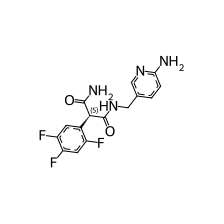 NC(=O)[C@@H](C(=O)NCc1ccc(N)nc1)c1cc(F)c(F)cc1F